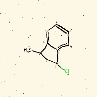 CC1CB(Cl)c2ccccc21